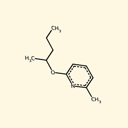 CCCC(C)Oc1cccc(C)n1